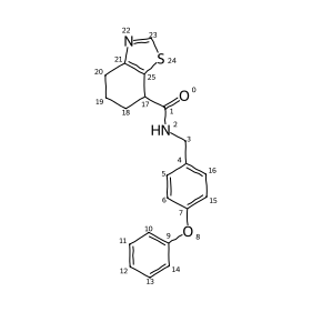 O=C(NCc1ccc(Oc2ccccc2)cc1)C1CCCc2ncsc21